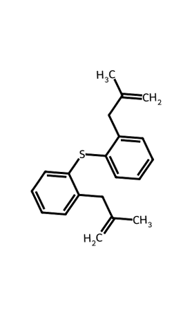 C=C(C)Cc1ccccc1Sc1ccccc1CC(=C)C